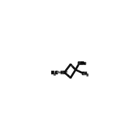 [CH2-][NH+]1CC(C)(OC)C1